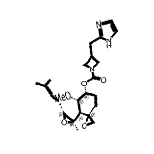 CO[C@@H]1[C@H](OC(=O)N2CC(Cc3ncc[nH]3)C2)CC[C@]2(CO2)[C@H]1[C@@]1(C)O[C@@H]1CC=C(C)C